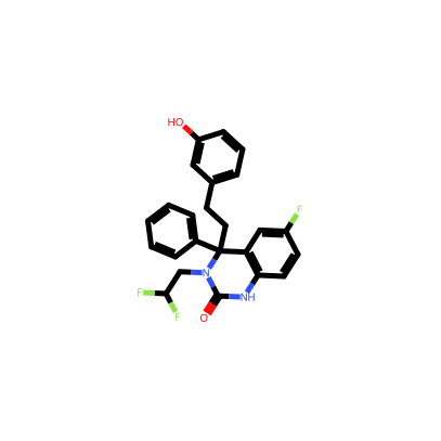 O=C1Nc2ccc(F)cc2C(CCc2cccc(O)c2)(c2ccccc2)N1CC(F)F